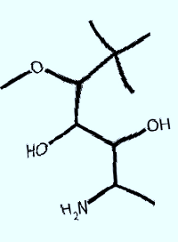 COC(C(O)C(O)C(C)N)C(C)(C)C